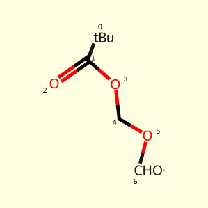 CC(C)(C)C(=O)OCO[C]=O